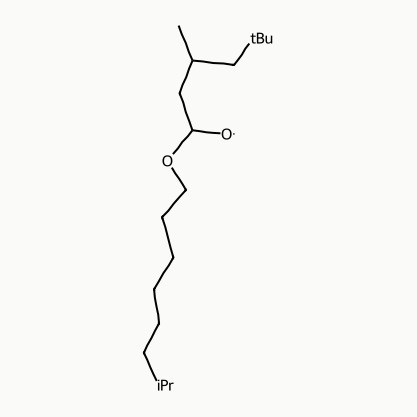 CC(C)CCCCCCOC([O])CC(C)CC(C)(C)C